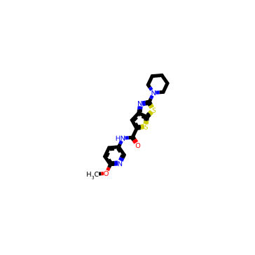 COc1ccc(NC(=O)c2cc3nc(N4CCCCC4)sc3s2)cn1